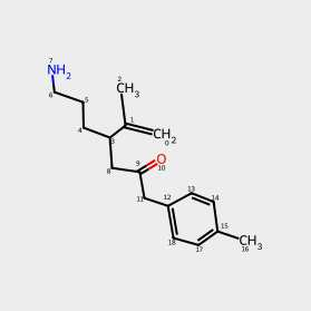 C=C(C)C(CCCN)CC(=O)Cc1ccc(C)cc1